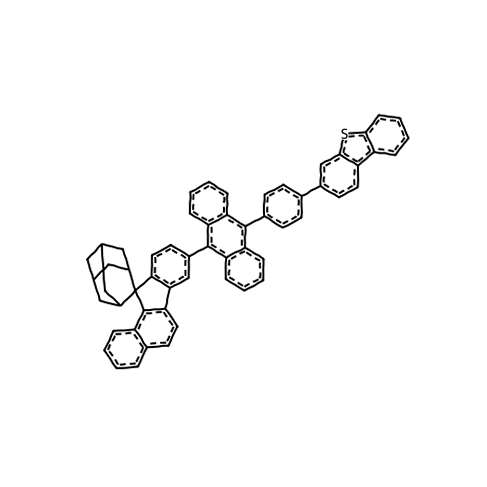 c1ccc2c3c(ccc2c1)-c1cc(-c2c4ccccc4c(-c4ccc(-c5ccc6c(c5)sc5ccccc56)cc4)c4ccccc24)ccc1C31C2CC3CC(C2)CC1C3